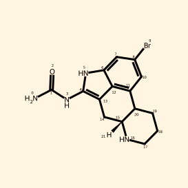 NC(=O)Nc1[nH]c2cc(Br)cc3c2c1C[C@H]1NCCCC31